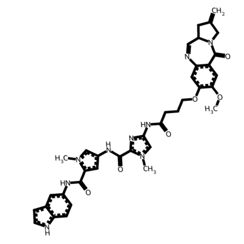 C=C1CC2C=Nc3cc(OCCCC(=O)Nc4cn(C)c(C(=O)Nc5cc(C(=O)Nc6ccc7[nH]ccc7c6)n(C)c5)n4)c(OC)cc3C(=O)N2C1